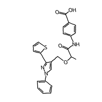 CC(OCc1cn(-c2ccccc2)nc1-c1cccs1)C(=O)Nc1ccc(C(=O)O)cc1